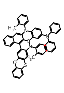 Cc1ccccc1N1B2c3cc(N(c4ccccc4)c4ccccc4)ccc3N(c3ccccc3C)c3cc4ccccc4c(c32)-c2cc3c(cc21)Sc1ccccc1O3